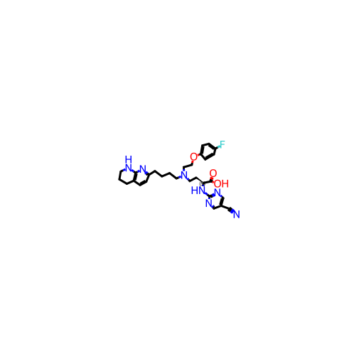 N#Cc1cnc(N[C@@H](CCN(CCCCc2ccc3c(n2)NCCC3)CCOc2ccc(F)cc2)C(=O)O)nc1